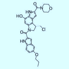 CCCOc1ccc2[nH]c(C(=O)N3C[C@@H](CCl)c4c3cc(O)c3[nH]c(C(=O)N5CCOCC5)cc43)cc2c1